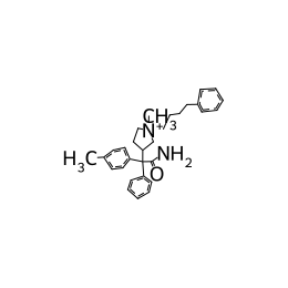 Cc1ccc(C(C(N)=O)(c2ccccc2)C2CC[N+](C)(CCCCc3ccccc3)C2)cc1